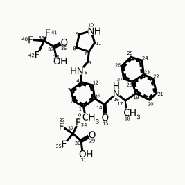 Cc1ccc(NCC2CCNC2)cc1C(=O)N[C@H](C)c1cccc2ccccc12.O=C(O)C(F)(F)F.O=C(O)C(F)(F)F